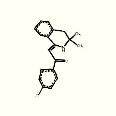 CC1(C)Cc2ccccc2/C(=C/C(=O)c2ccc(Cl)cc2)N1